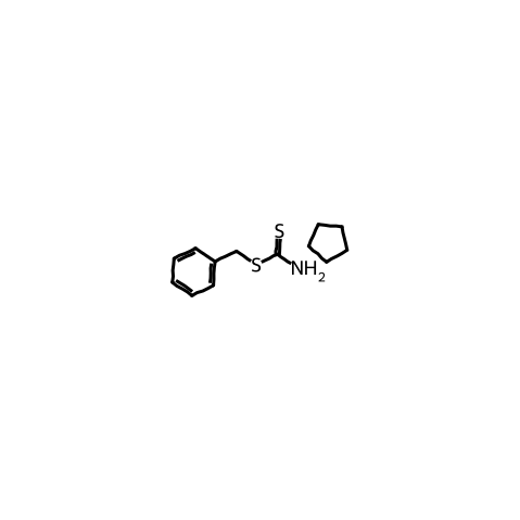 C1CCCC1.NC(=S)SCc1ccccc1